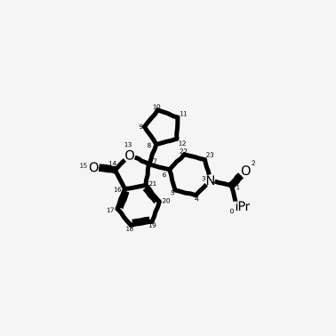 CC(C)C(=O)N1CCC(C2(C3CCCC3)OC(=O)c3ccccc32)CC1